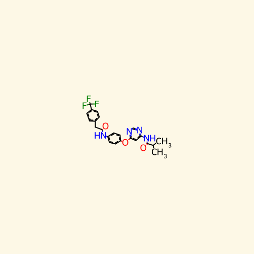 CC(C)C(=O)Nc1cc(Oc2ccc(NC(=O)Cc3ccc(C(F)(F)F)cc3)cc2)ncn1